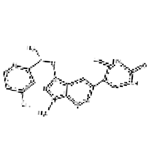 Cc1ccnc([C@H](C)Oc2nn(C)c3nnc(-c4c[nH]c(=O)[nH]c4=O)cc23)c1